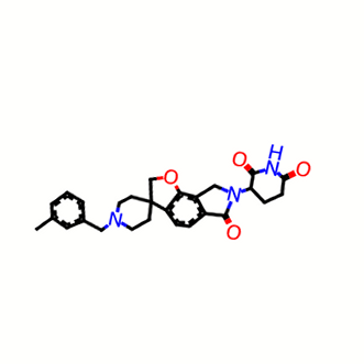 Cc1cccc(CN2CCC3(CC2)COc2c3ccc3c2CN(C2CCC(=O)NC2=O)C3=O)c1